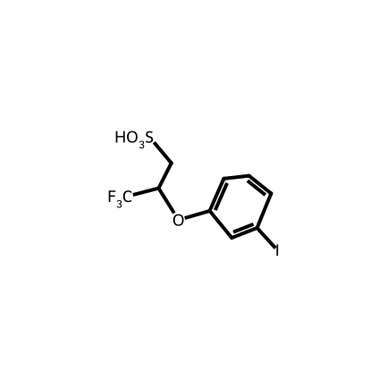 O=S(=O)(O)CC(Oc1cccc(I)c1)C(F)(F)F